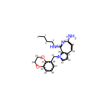 CCCCNC1=NC(N)=C=Cc2ccn(Cc3cccc4c3OCCO4)c21